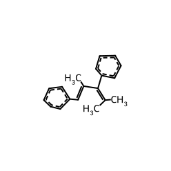 CC(=Cc1ccccc1)C(=C(C)C)c1ccccc1